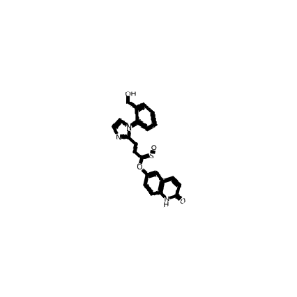 O=S=C(CCc1nccn1-c1ccccc1CO)Oc1ccc2[nH]c(=O)ccc2c1